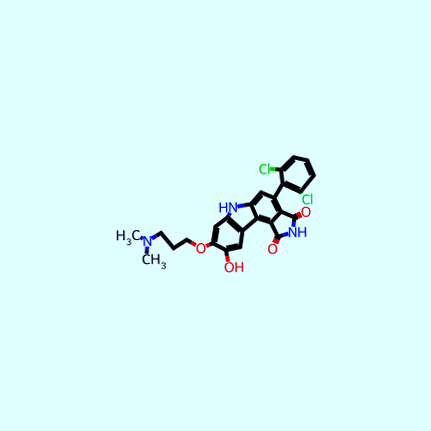 CN(C)CCCOc1cc2[nH]c3cc(-c4c(Cl)cccc4Cl)c4c(c3c2cc1O)C(=O)NC4=O